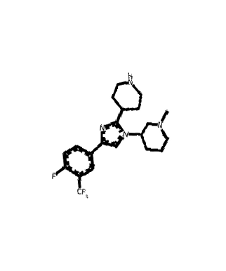 CN1CCCC(n2cc(-c3ccc(F)c(C(F)(F)F)c3)nc2C2CCNCC2)C1